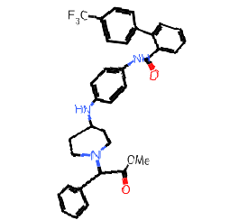 COC(=O)C(c1ccccc1)N1CCC(Nc2ccc(NC(=O)c3ccccc3-c3ccc(C(F)(F)F)cc3)cc2)CC1